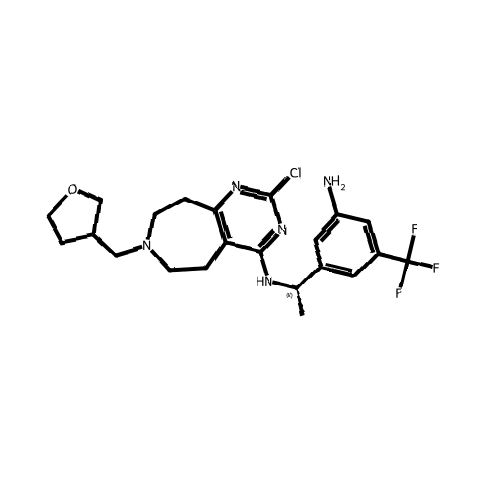 C[C@@H](Nc1nc(Cl)nc2c1CCN(CC1CCOC1)CC2)c1cc(N)cc(C(F)(F)F)c1